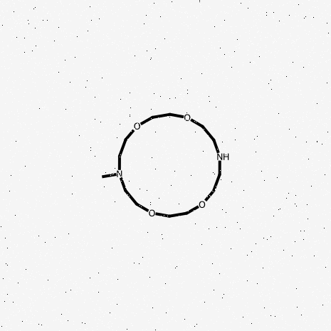 CN1CCOCCOCCNCCOCCOCC1